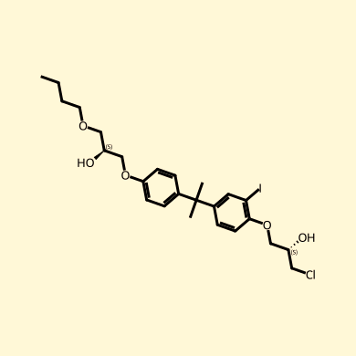 CCCCOC[C@H](O)COc1ccc(C(C)(C)c2ccc(OC[C@H](O)CCl)c(I)c2)cc1